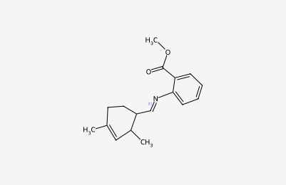 COC(=O)c1ccccc1/N=C/C1CCC(C)=CC1C